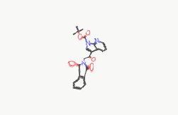 CC(C)(C)OC(=O)n1cc(C(=O)CN2C(=O)c3ccccc3C2=O)c2cccnc21